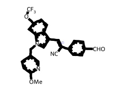 COc1ccc(Cn2cc(/C=C(\C#N)c3ccc(C=O)cc3)c3ccc(OC(F)(F)F)cc32)cn1